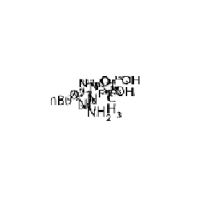 CCCCOc1nc(N)nc2c1ncn2C1O[C@H](CO)[C@@H](O)[C@@]1(C)F